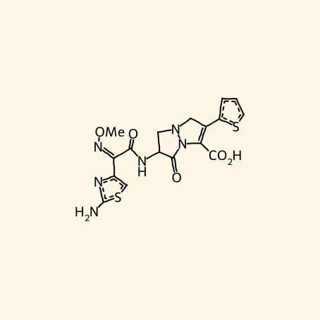 CO/N=C(\C(=O)NC1CN2CC(c3cccs3)=C(C(=O)O)N2C1=O)c1csc(N)n1